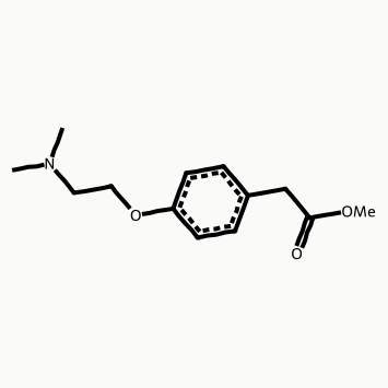 COC(=O)Cc1ccc(OCCN(C)C)cc1